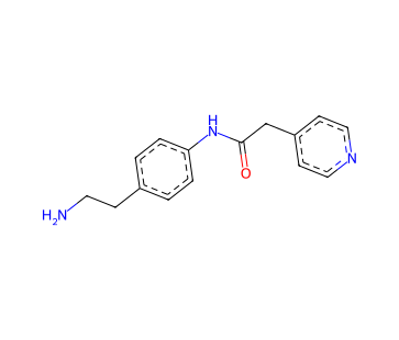 NCCc1ccc(NC(=O)Cc2ccncc2)cc1